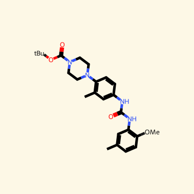 COc1ccc(C)cc1NC(=O)Nc1ccc(N2CCN(C(=O)OC(C)(C)C)CC2)c(C)c1